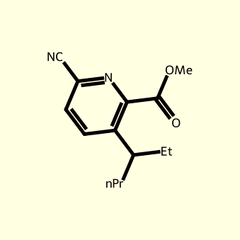 CCCC(CC)c1ccc(C#N)nc1C(=O)OC